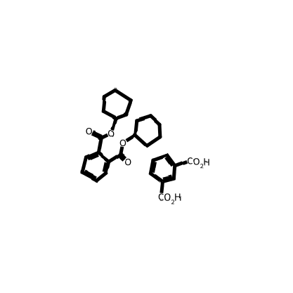 O=C(O)c1cccc(C(=O)O)c1.O=C(OC1CCCCC1)c1ccccc1C(=O)OC1CCCCC1